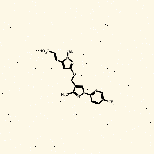 Cc1nn(-c2ccc(C(F)(F)F)cn2)cc1COc1cc(C=CC(=O)O)n(C)n1